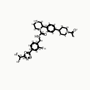 CC(=O)N1CCC(c2ccc(C3CSCCN3C(=O)NCc3ccc(-c4nnc(C(F)F)o4)cc3F)cc2)CC1